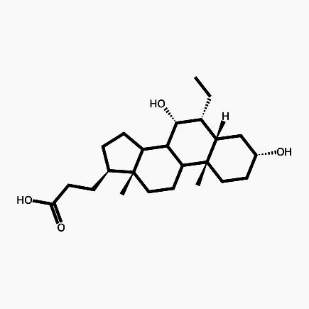 CC[C@H]1[C@@H](O)C2C3CC[C@H](CCC(=O)O)[C@@]3(C)CCC2[C@@]2(C)CC[C@@H](O)C[C@@H]12